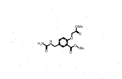 CCCCOC(=O)c1cc(CNC(N)=O)ccc1OCC(=O)OC